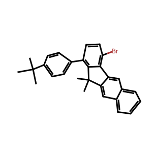 CC(C)(C)c1ccc(-c2ccc(Br)c3c2C(C)(C)c2cc4ccccc4cc2-3)cc1